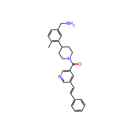 Cc1ccc(CN)cc1C1CCN(C(=O)c2cncc(C=Cc3ccccc3)c2)CC1